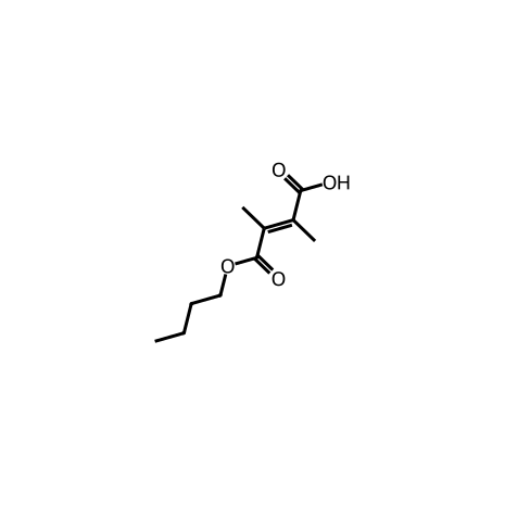 CCCCOC(=O)/C(C)=C(\C)C(=O)O